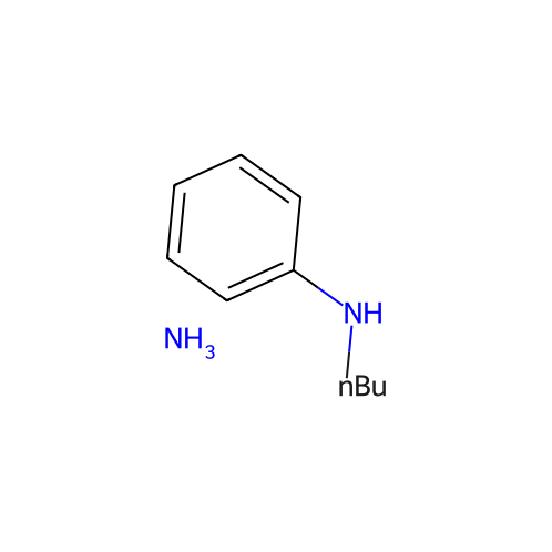 CCCCNc1ccccc1.N